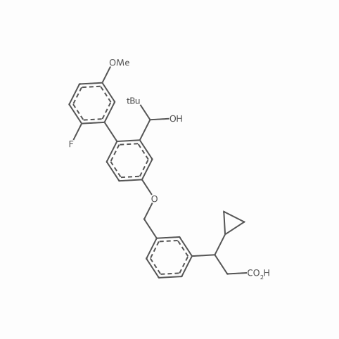 COc1ccc(F)c(-c2ccc(OCc3cccc(C(CC(=O)O)C4CC4)c3)cc2C(O)C(C)(C)C)c1